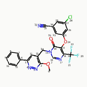 COc1nnc(-c2ccccc2)cc1Cn1cnc(C(F)(F)F)c(Oc2cc(Cl)cc(C#N)c2)c1=O